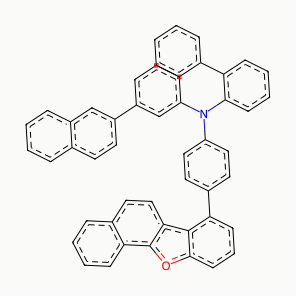 c1ccc(-c2ccccc2N(c2ccc(-c3cccc4oc5c6ccccc6ccc5c34)cc2)c2cccc(-c3ccc4ccccc4c3)c2)cc1